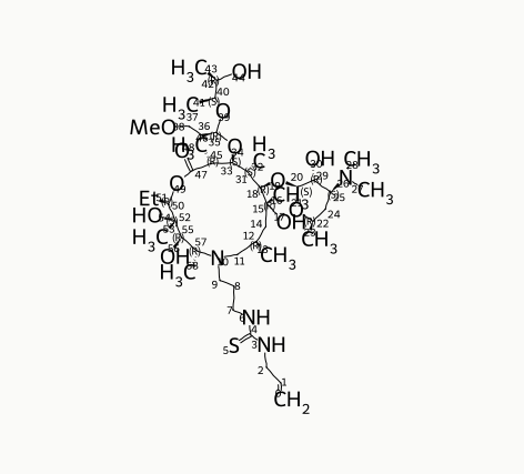 C=CCNC(=S)NCCCN1C[C@H](C)C[C@@](C)(O)[C@H](O[C@@H]2O[C@H](C)C[C@H](N(C)C)[C@H]2O)[C@@H](C)[C@H](O[C@@H](CCOC)O[C@@H](C)[C@@H](C)O)[C@@H](C)C(=O)O[C@H](CC)[C@@](C)(O)[C@H](O)[C@H]1C